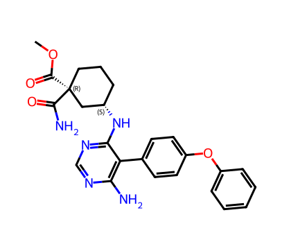 COC(=O)[C@]1(C(N)=O)CCC[C@H](Nc2ncnc(N)c2-c2ccc(Oc3ccccc3)cc2)C1